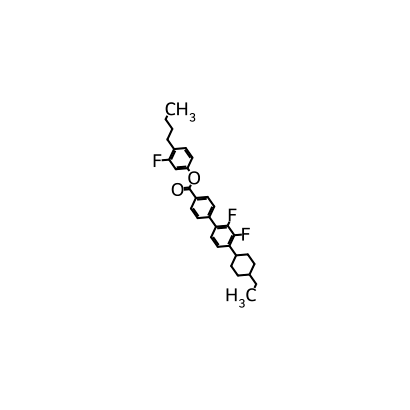 CCCCc1ccc(OC(=O)c2ccc(-c3ccc(C4CCC(CC)CC4)c(F)c3F)cc2)cc1F